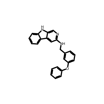 c1ccc(Oc2cccc(CNc3cc4c(cn3)[nH]c3ccccc34)c2)cc1